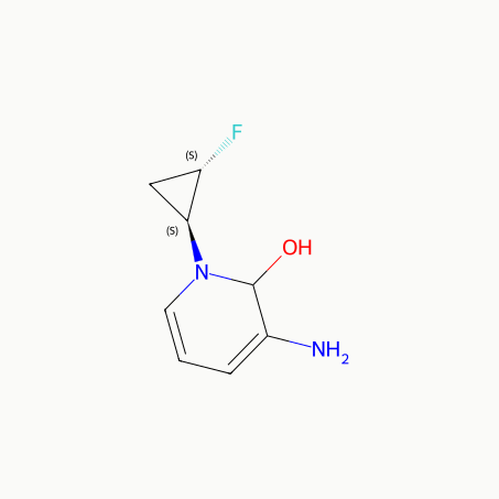 NC1=CC=CN([C@H]2C[C@@H]2F)C1O